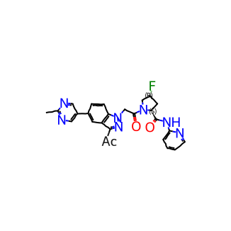 CC(=O)c1nn(CC(=O)N2C[C@H](F)C[C@H]2C(=O)Nc2ccccn2)c2ccc(-c3cnc(C)nc3)cc12